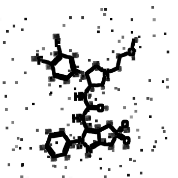 COCCN1C[C@@H](NC(=O)Nc2c3c(nn2-c2ccccc2)CS(=O)(=O)C3)[C@H](c2ccc(F)c(F)c2)C1